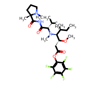 CC[C@H](C)[C@@H]([C@@H](CC(=O)Oc1c(F)c(F)c(F)c(F)c1F)OC)N(C)[C@H](C(=O)NC(=O)[C@]1(C)CCCN1C)C(C)C